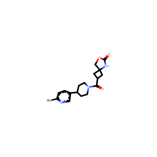 CC(C)(C)c1ccc(C2CCN(C(=O)C3CC4(COC(=O)N4)C3)CC2)cn1